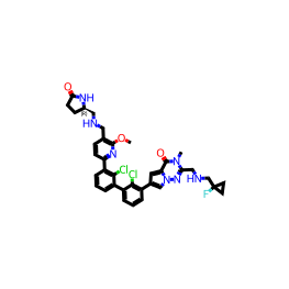 COc1nc(-c2cccc(-c3cccc(-c4cc5c(=O)n(C)c(CNCC6(F)CC6)nn5c4)c3Cl)c2Cl)ccc1CNC[C@H]1CCC(=O)N1